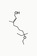 CCOC(C)(CC)CCCCC(C)=CCO